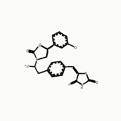 CC(Cc1ccc(C=C2SC(=O)NC2=O)cc1)N1CC(c2cccc(Cl)c2)OC1=O